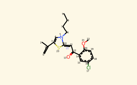 C=C(C)C1=CN(CCCC)/C(=C/C(=O)c2cc(Cl)ccc2OC)S1